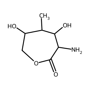 CC1C(O)COC(=O)C(N)C1O